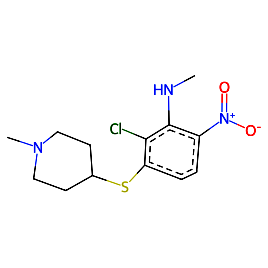 CNc1c([N+](=O)[O-])ccc(SC2CCN(C)CC2)c1Cl